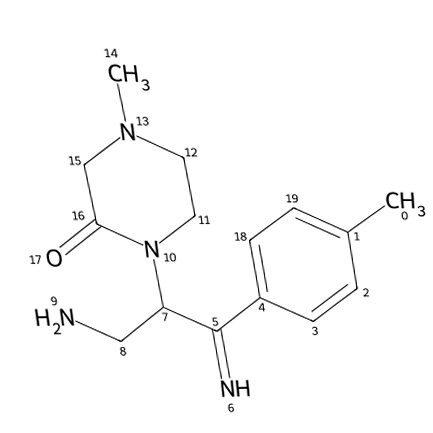 Cc1ccc(C(=N)C(CN)N2CCN(C)CC2=O)cc1